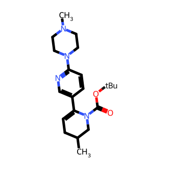 CC1CC=C(c2ccc(N3CCN(C)CC3)nc2)N(C(=O)OC(C)(C)C)C1